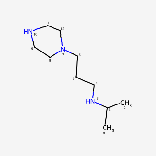 CC(C)NCCCN1CCNCC1